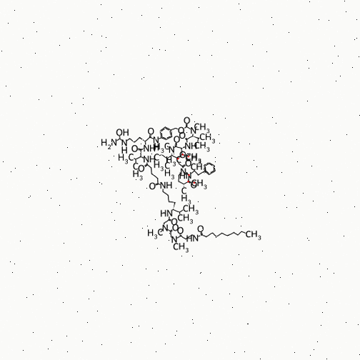 CCCCCCCCCC(=O)NCCC(=O)N(C)CC(=O)N(C)CC(=O)N[C@@H](CCCCNC(=O)CCCC(=O)N[C@H](C(=O)N[C@@H](CCCNC(N)O)C(=O)Nc1ccc(COC(=O)N(C)[C@H](C(=O)N[C@H](C(=O)N(C)[C@@H]([C@@H](C)CC)[C@@H](CC(=O)N(CCC)CC[C@@H](C)C(=O)N[C@H](C)Cc2ccccc2)OC)C(C)C)C(C)C)cc1)C(C)C)C(C)C